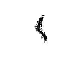 O=C(C(CF)N1CCC(c2nc(Cc3ccc(F)cc3)no2)CC1)C(CF)N1CCC(c2nc(Cc3ccc(F)cc3)no2)CC1